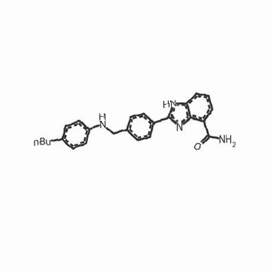 CCCCc1ccc(NCc2ccc(-c3nc4c(C(N)=O)cccc4[nH]3)cc2)cc1